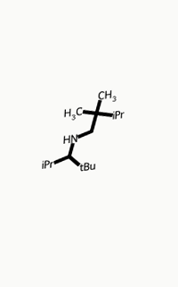 CC(C)C(NCC(C)(C)C(C)C)C(C)(C)C